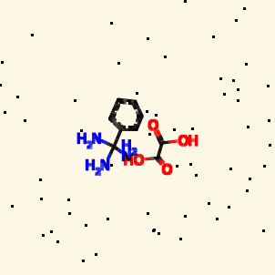 NC(N)(N)c1ccccc1.O=C(O)C(=O)O